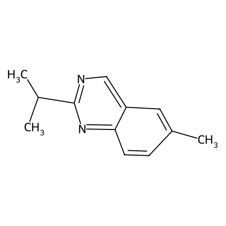 Cc1ccc2nc(C(C)C)ncc2c1